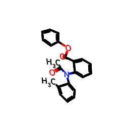 CC(=O)N(c1ccccc1C)c1ccccc1C(=O)Oc1ccccc1